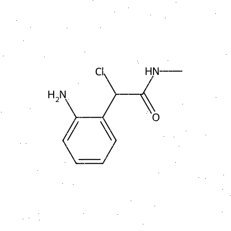 CNC(=O)C(Cl)c1ccccc1N